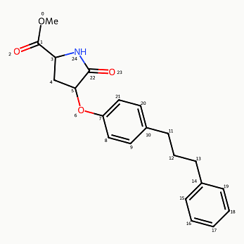 COC(=O)C1CC(Oc2ccc(CCCc3ccccc3)cc2)C(=O)N1